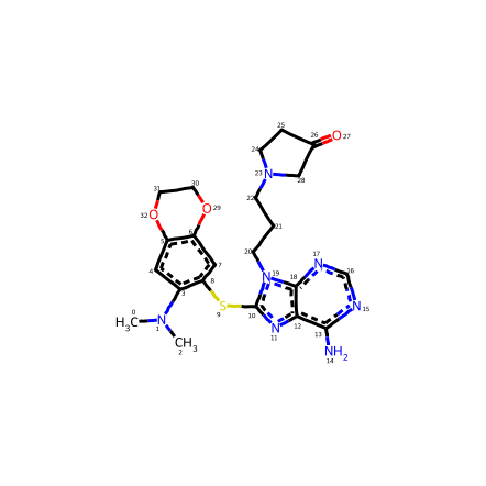 CN(C)c1cc2c(cc1Sc1nc3c(N)ncnc3n1CCCN1CCC(=O)C1)OCCO2